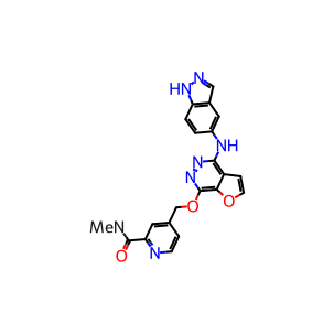 CNC(=O)c1cc(COc2nnc(Nc3ccc4[nH]ncc4c3)c3ccoc23)ccn1